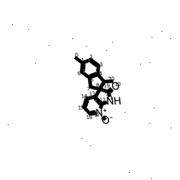 Cc1ccc2c(c1)CC1(C(=O)Nc3c1ccc[n+]3[O-])C2C